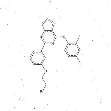 Fc1ccc(Oc2nc(-c3cccc(OCCBr)c3)nc3ccsc23)c(F)c1